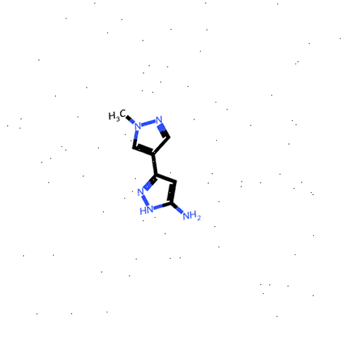 Cn1cc(-c2cc(N)[nH]n2)cn1